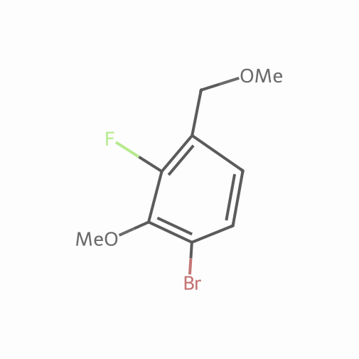 COCc1ccc(Br)c(OC)c1F